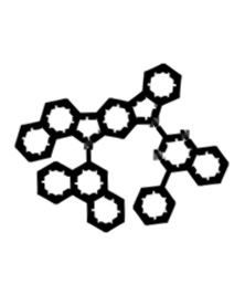 c1ccc(-c2nc(-n3c4ccccc4c4cc5c6ccc7ccccc7c6n(-c6cc7ccccc7c7ccccc67)c5cc43)nc3ccccc23)cc1